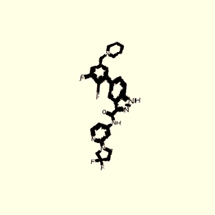 O=C(Nc1ccnc(N2CCC(F)(F)C2)c1)c1n[nH]c2ccc(-c3cc(CN4CCCCC4)cc(F)c3F)cc12